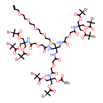 C=CCOCCOCCOCCOCCOCC(CNC(=O)COCC(=O)NC(COC(=O)C(C)(C)C)(COC(=O)C(C)(C)Br)COC(=O)C(C)(C)Br)(CNC(=O)COCC(=O)NC(COC(=O)C(C)(C)Br)(COC(=O)C(C)(C)Br)COC(=O)C(C)(C)Br)CNC(=O)COCC(=O)NC(COC(=O)C(C)(C)Br)(COC(=O)C(C)(C)Br)COC(=O)C(C)(C)Br